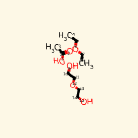 CC(=O)O.CCOCC.OCCOCCO